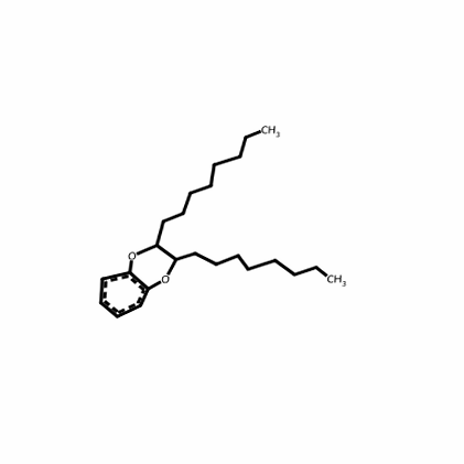 CCCCCCCCC1Oc2ccccc2OC1CCCCCCCC